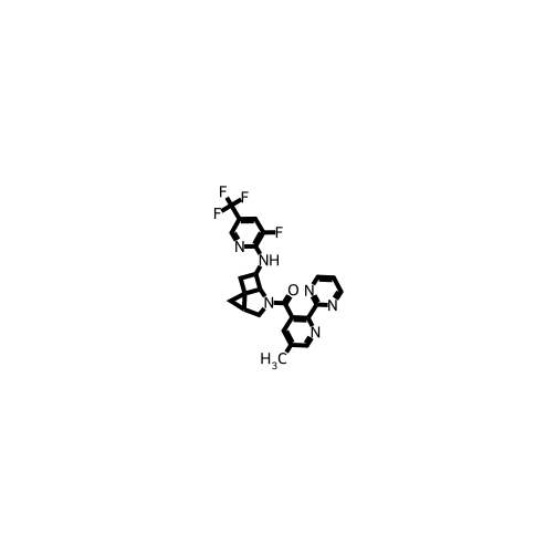 Cc1cnc(-c2ncccn2)c(C(=O)N2CC3CC34CC(Nc3ncc(C(F)(F)F)cc3F)C24)c1